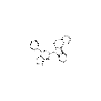 c1ccc(-c2nc(-n3c4ccccc4c4c5ccccc5ccc43)nc3sccc23)nc1